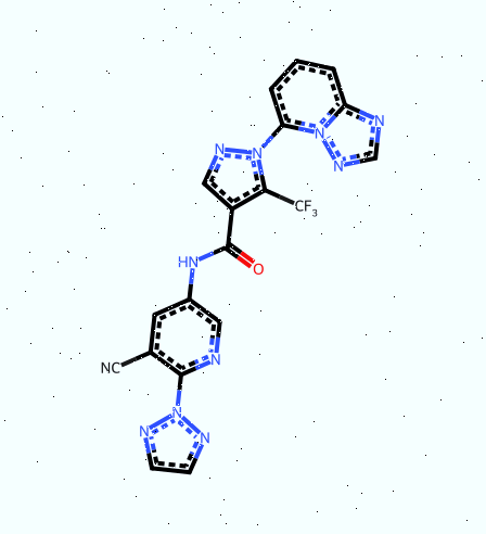 N#Cc1cc(NC(=O)c2cnn(-c3cccc4ncnn34)c2C(F)(F)F)cnc1-n1nccn1